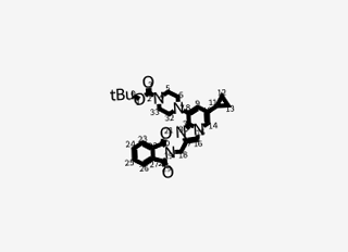 CC(C)(C)OC(=O)N1CCN(c2cc(C3CC3)cn3cc(CN4C(=O)c5ccccc5C4=O)nc23)CC1